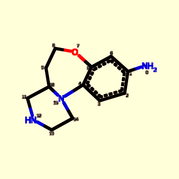 Nc1ccc2c(c1)OCCC1CNCCN21